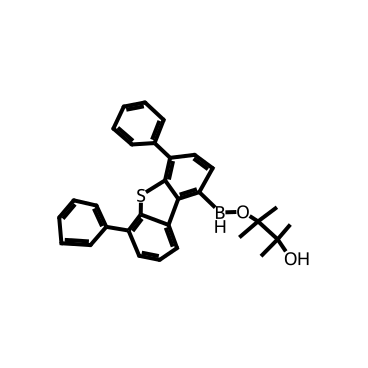 CC(C)(O)C(C)(C)OBc1ccc(-c2ccccc2)c2sc3c(-c4ccccc4)cccc3c12